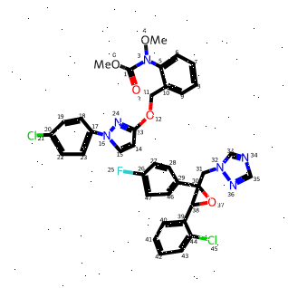 COC(=O)N(OC)c1ccccc1COc1ccn(-c2ccc(Cl)cc2)n1.Fc1ccc(C2(Cn3cncn3)OC2c2ccccc2Cl)cc1